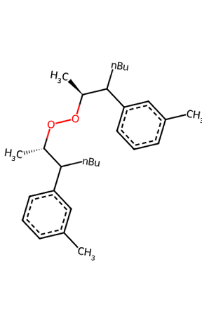 CCCCC(c1cccc(C)c1)[C@H](C)OO[C@@H](C)C(CCCC)c1cccc(C)c1